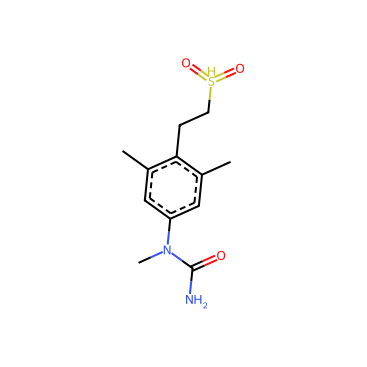 Cc1cc(N(C)C(N)=O)cc(C)c1CC[SH](=O)=O